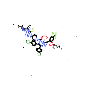 CCOc1cc(C(F)(F)F)ccc1C1=NC(c2ccc(Cl)cc2)C(c2ccc(Cl)cc2)N1C(=O)N1CCC(NC(=S)NC)CC1